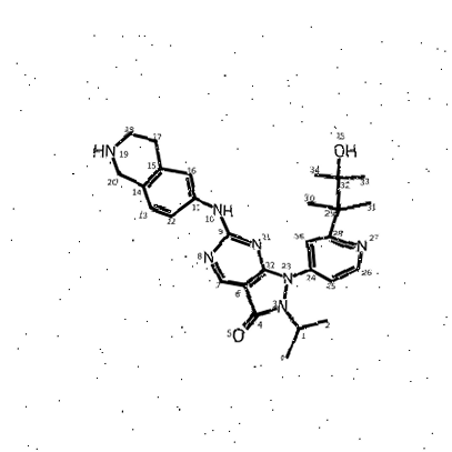 CC(C)n1c(=O)c2cnc(Nc3ccc4c(c3)CCNC4)nc2n1-c1ccnc(C(C)(C)C(C)(C)O)c1